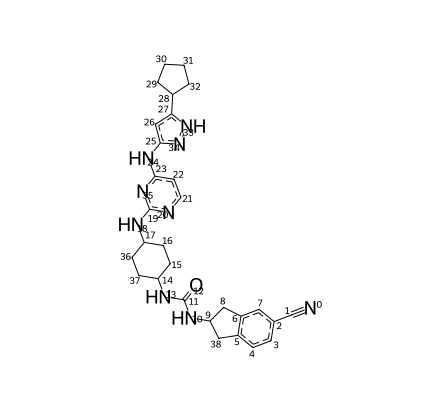 N#Cc1ccc2c(c1)CC(NC(=O)NC1CCC(Nc3nccc(Nc4cc(C5CCCC5)[nH]n4)n3)CC1)C2